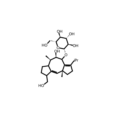 CC(C)C1=C2C(O[C@@H]3O[C@H](CO)[C@@H](O)[C@H](O)[C@H]3O)[C@H](O)[C@H](C)C3CCC(CO)/C3=C/[C@@]2(C)CC1